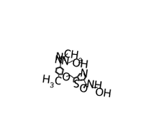 Cc1ccc(-c2nnc(C)n2CCO)cc1OCc1csc2c(C(=O)NCCO)cncc12